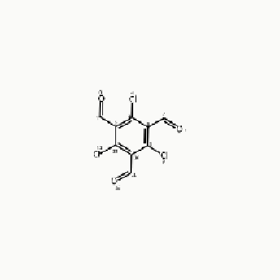 O=Cc1c(Cl)c(C=O)c(Cl)c(C=O)c1Cl